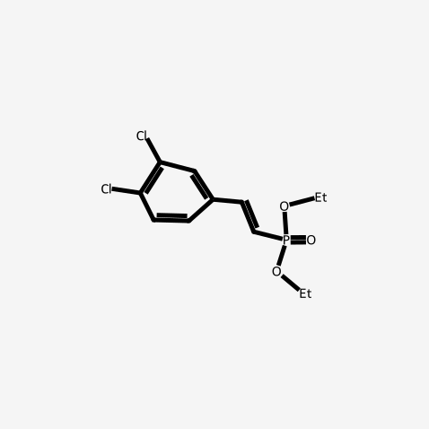 CCOP(=O)(C=Cc1ccc(Cl)c(Cl)c1)OCC